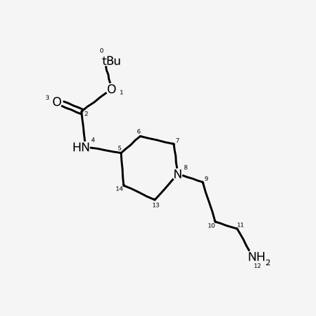 CC(C)(C)OC(=O)NC1CCN(CCCN)CC1